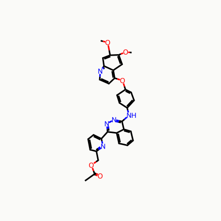 COc1cc2nccc(Oc3ccc(Nc4nnc(-c5cccc(COC(C)=O)n5)c5ccccc45)cc3)c2cc1OC